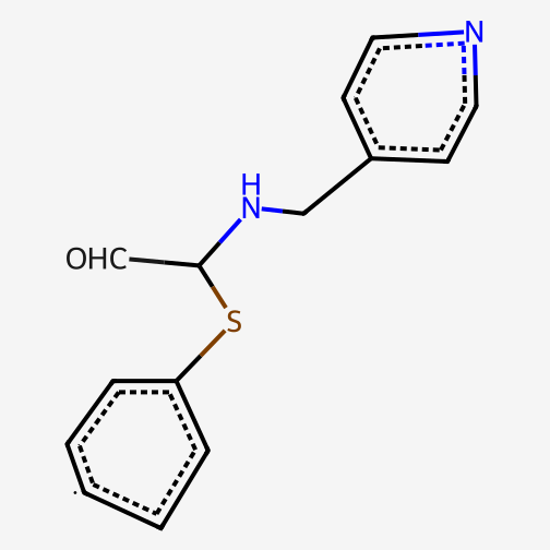 O=CC(NCc1ccncc1)Sc1cc[c]cc1